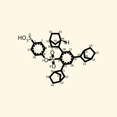 O=S(=O)(O)c1ccc(OS(=O)(=O)c2c(C3CC4CCC3C4)cc(C3CC4CCC3C4)cc2C2CC3CC[C@H]2C3)cc1